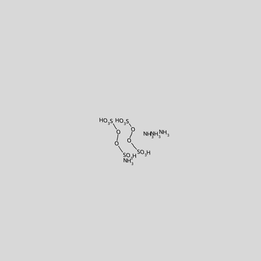 N.N.N.N.O=S(=O)(O)OOS(=O)(=O)O.O=S(=O)(O)OOS(=O)(=O)O